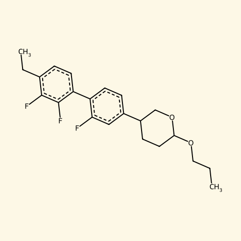 CCCOC1CCC(c2ccc(-c3ccc(CC)c(F)c3F)c(F)c2)CO1